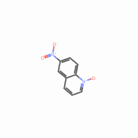 O=[N+]([O-])c1ccc2c(ccc[n+]2[O-])c1